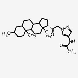 CC(=O)Nc1cnn(CC(=O)[C@H]2CCC3C4CCC5CC(C)CCC5(C)C4CCC32C)c1